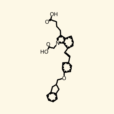 O=C(O)CCCc1cn(CC(=O)O)c2c(C=Cc3ccc(OCC4Cc5ccccc5C4)cc3)cccc12